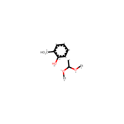 CCOC(C)OCC.O=C(O)c1ccccc1O